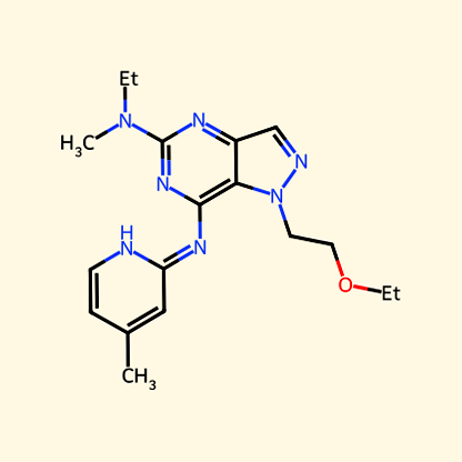 CCOCCn1ncc2nc(N(C)CC)nc(/N=c3/cc(C)cc[nH]3)c21